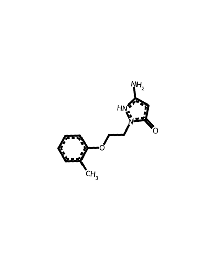 Cc1ccccc1OCCn1[nH]c(N)cc1=O